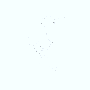 COc1cc(OC)cc(C2CC3C(O)C2(C(=O)O)C(C)=C(C)C3(O)CC[Si](C)(C)C)c1